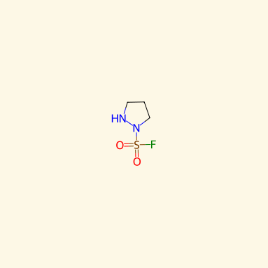 O=S(=O)(F)N1CCCN1